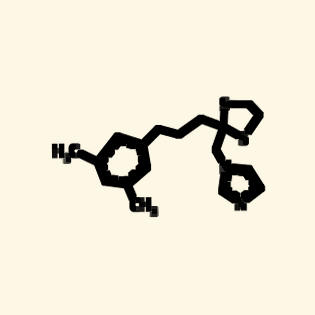 Cc1cc(C)cc(CCCC2(Cn3ccnc3)SCCS2)c1